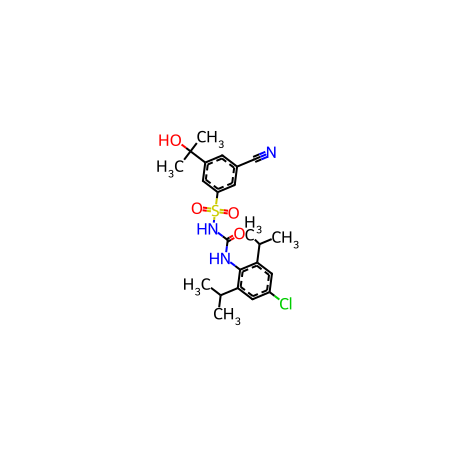 CC(C)c1cc(Cl)cc(C(C)C)c1NC(=O)NS(=O)(=O)c1cc(C#N)cc(C(C)(C)O)c1